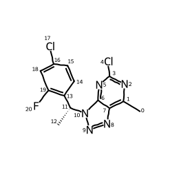 Cc1nc(Cl)nc2c1nnn2[C@H](C)c1ccc(Cl)cc1F